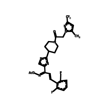 CC(=O)ON=C(C=Cc1c(F)cccc1F)c1csc(C2CCN(C(=O)Cn3nc(C(F)(F)F)cc3C)CC2)n1